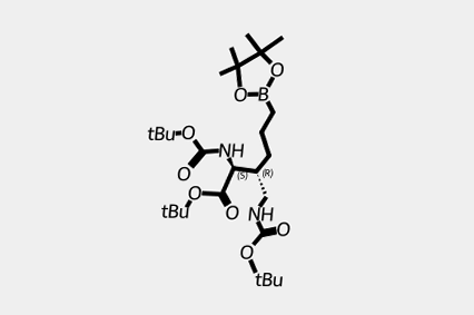 CC(C)(C)OC(=O)NC[C@@H](CCCB1OC(C)(C)C(C)(C)O1)[C@H](NC(=O)OC(C)(C)C)C(=O)OC(C)(C)C